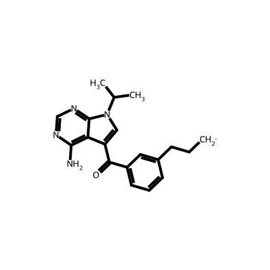 [CH2]CCc1cccc(C(=O)c2cn(C(C)C)c3ncnc(N)c23)c1